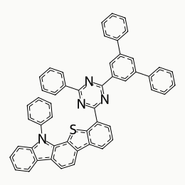 c1ccc(-c2cc(-c3ccccc3)cc(-c3nc(-c4ccccc4)nc(-c4cccc5c4sc4c5ccc5c6ccccc6n(-c6ccccc6)c54)n3)c2)cc1